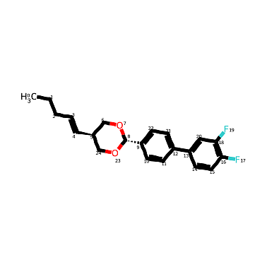 CCC/C=C/[C@H]1CO[C@H](c2ccc(-c3ccc(F)c(F)c3)cc2)OC1